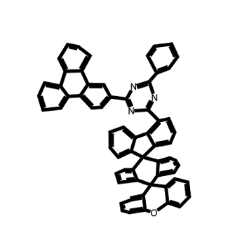 c1ccc(-c2nc(-c3ccc4c5ccccc5c5ccccc5c4c3)nc(-c3cccc4c3-c3ccccc3C43c4ccccc4C4(c5ccccc5Oc5ccccc54)c4ccccc43)n2)cc1